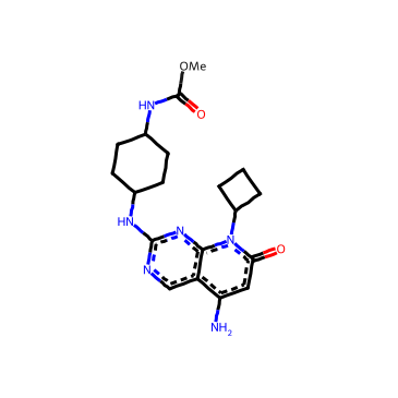 COC(=O)NC1CCC(Nc2ncc3c(N)cc(=O)n(C4CCC4)c3n2)CC1